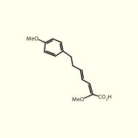 CO/C(=C\C=C\CCc1ccc(OC)cc1)C(=O)O